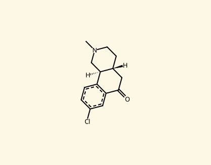 CN1CC[C@@H]2CC(=O)c3cc(Cl)ccc3[C@H]2C1